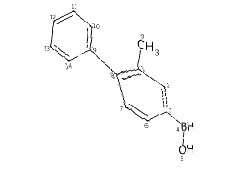 Cc1cc(BO)ccc1-c1ccccc1